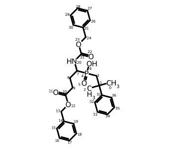 CC(C)(CP(=O)(O)C(CCC(=O)OCc1ccccc1)NC(=O)OCc1ccccc1)c1ccccc1